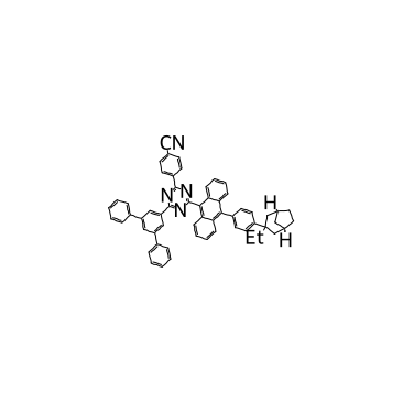 CCC1(c2ccc(-c3c4ccccc4c(-c4nc(-c5ccc(C#N)cc5)nc(-c5cc(-c6ccccc6)cc(-c6ccccc6)c5)n4)c4ccccc34)cc2)C[C@@H]2CC[C@@H](C2)C1